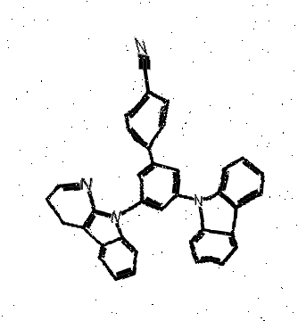 N#Cc1ccc(-c2cc(-n3c4c(c5ccccc53)CCC=N4)cc(-n3c4ccccc4c4ccccc43)c2)cc1